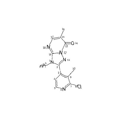 CCCn1c(-c2ccnc(Cl)c2C)nn2c(=O)c(C)cnc12